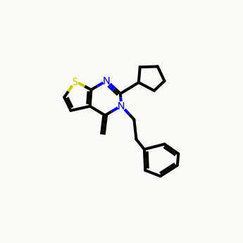 C=C1c2ccsc2N=C(C2CCCC2)N1CCc1ccccc1